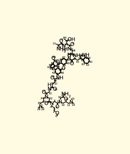 COCCCN(CC(=O)N(CCCN(C)C)CC(N)=O)C(=O)CN(CCCN(C)C)C(=O)CNC(=O)CCC(=O)Nc1ccc2c(c1)Oc1cc(NC(=O)[C@H](Cc3c[nH]c4ccccc34)NC(=O)CNC(=O)C(NC(=O)[C@H](C)N)C(C)O)ccc1C21OC(=O)c2ccccc21